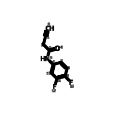 C#CCC(=O)Nc1ccc(F)c(F)c1